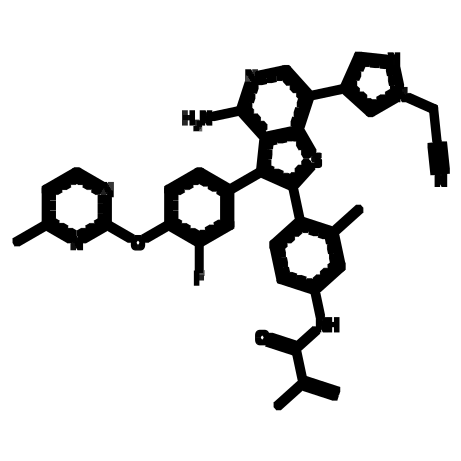 C=C(C)C(=O)Nc1ccc(-c2sc3c(-c4cnn(CC#N)c4)cnc(N)c3c2-c2ccc(Oc3nccc(C)n3)c(F)c2)c(C)c1